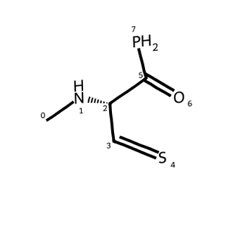 CN[C@@H](C=S)C(=O)P